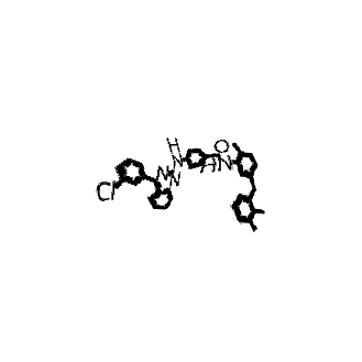 Cc1ccc(Cc2cccc(C)c2C)cc1NC(=O)c1ccc(Nc2nc(-c3cccc(Cl)c3)c3ccccc3n2)cc1